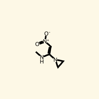 CNC(=C[N+](=O)[O-])N1CC1